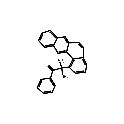 NC(N)(C(=O)c1ccccc1)c1cccc2ccc3cc4ccccc4cc3c12